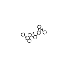 c1ccc(-c2nc3ccccc3c3c2ccc2sc4c(-c5cc6c7ccccc7n7c8ccccc8c(c5)c67)cccc4c23)cc1